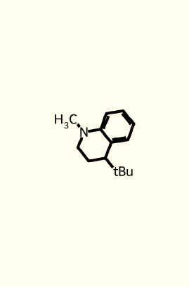 CN1CCC(C(C)(C)C)c2ccccc21